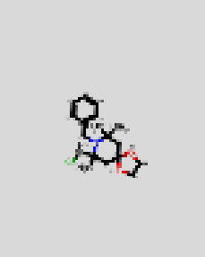 BC1(B)CC2(CC(B)(BCl)N1Cc1ccccc1)OCCO2